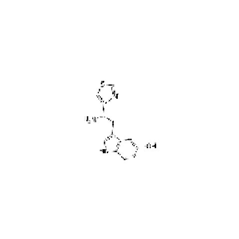 NC(Cc1c[nH]c2ccc(O)cc12)c1cscn1